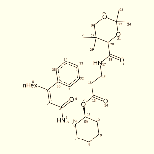 CCCCCCC(=CC(=O)N[C@H]1CCCC[C@@H]1OC(=O)CCNC(=O)C1OC(C)(C)OCC1(C)C)c1ccccc1